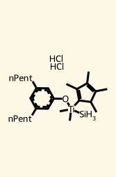 CCCCCc1cc(CCCCC)cc([O][Ti]([CH3])([CH3])([SiH3])[C]2=C(C)C(C)=C(C)C2C)c1.Cl.Cl